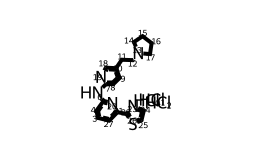 Cl.Cl.Cl.c1cc(Nc2ccc(CCN3CCCC3)cn2)nc(-c2nccs2)c1